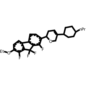 CCCC1CCC(C2=CCC(c3ccc4c(c3F)C(F)(F)c3c-4ccc(OCC)c3F)OC2)CC1